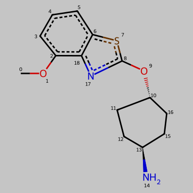 COc1cccc2sc(O[C@H]3CC[C@H](N)CC3)nc12